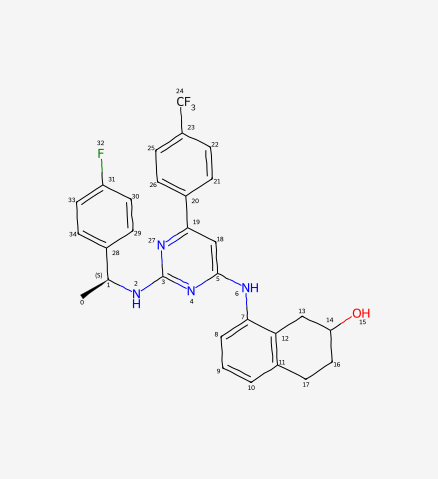 C[C@H](Nc1nc(Nc2cccc3c2CC(O)CC3)cc(-c2ccc(C(F)(F)F)cc2)n1)c1ccc(F)cc1